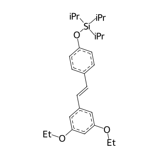 CCOc1cc(C=Cc2ccc(O[Si](C(C)C)(C(C)C)C(C)C)cc2)cc(OCC)c1